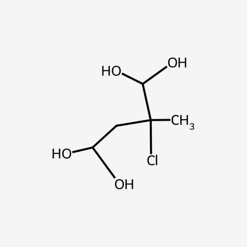 CC(Cl)(CC(O)O)C(O)O